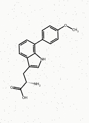 COc1ccc(-c2cccc3c(C[C@H](N)C(=O)O)c[nH]c23)cc1